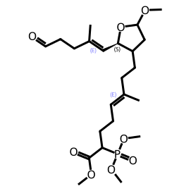 COC(=O)C(CC/C=C(\C)CCC1CC(OC)O[C@@H]1/C=C(\C)CCC=O)P(=O)(OC)OC